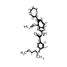 COCCN(C)Cc1ccc(C(=O)Nc2nc3c(OC)c(C4COCCCO4)ccc3s2)cc1